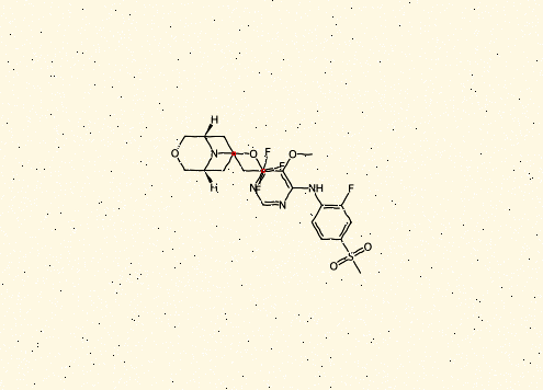 COc1c(Nc2ccc(S(C)(=O)=O)cc2F)ncnc1OC1C[C@H]2COC[C@@H](C1)N2CCC(F)(F)F